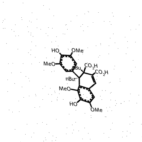 CCCC[C@@]1(C(=O)O)C(C(=O)O)=Cc2cc(OC)c(O)c(OC)c2[C@@]1(CCCC)c1cc(OC)c(O)c(OC)c1